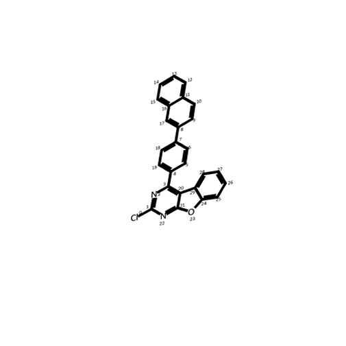 Clc1nc(-c2ccc(-c3ccc4ccccc4c3)cc2)c2c(n1)oc1ccccc12